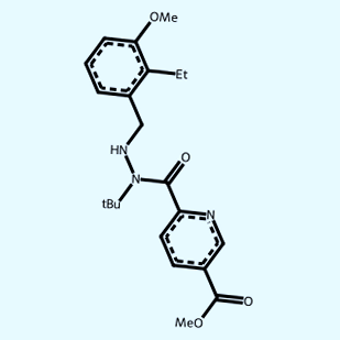 CCc1c(CNN(C(=O)c2ccc(C(=O)OC)cn2)C(C)(C)C)cccc1OC